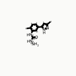 Cc1cc(-c2ccc(C)c(NC(=O)NN)c2)[nH]n1